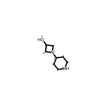 OC1CN(C2CCNCC2)C1